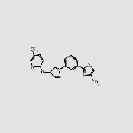 O=C(O)c1csc(-c2cccc(N3CCC(Oc4ccc(C(F)(F)F)cn4)C3)c2)n1